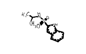 CC(C)NS(=O)(=O)c1cc2ccccc2[nH]1